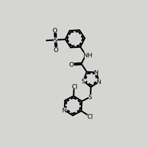 CS(=O)(=O)c1cccc(NC(=O)c2nnc(Sc3c(Cl)cncc3Cl)s2)c1